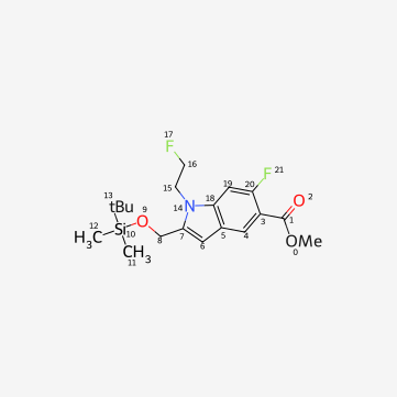 COC(=O)c1cc2cc(CO[Si](C)(C)C(C)(C)C)n(CCF)c2cc1F